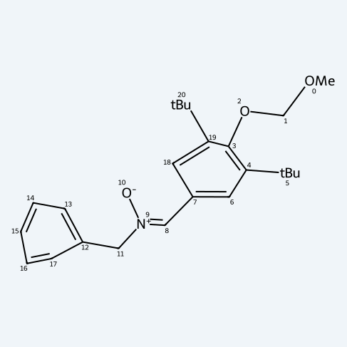 COCOc1c(C(C)(C)C)cc(C=[N+]([O-])Cc2ccccc2)cc1C(C)(C)C